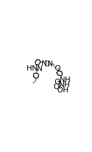 CCc1ccc(-c2nc3c(N4CCN(CCOc5ccc(NC(=O)NC(=O)O)cc5)CC4)cccc3[nH]2)cc1